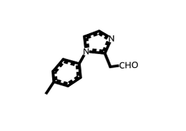 Cc1ccc(-n2ccnc2CC=O)cc1